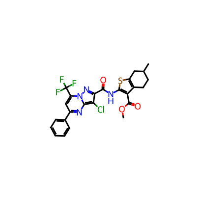 COC(=O)c1c(NC(=O)c2nn3c(C(F)(F)F)cc(-c4ccccc4)nc3c2Cl)sc2c1CCC(C)C2